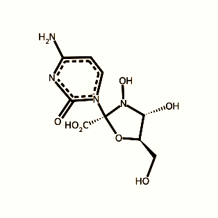 Nc1ccn([C@]2(C(=O)O)O[C@H](CO)[C@@H](O)N2O)c(=O)n1